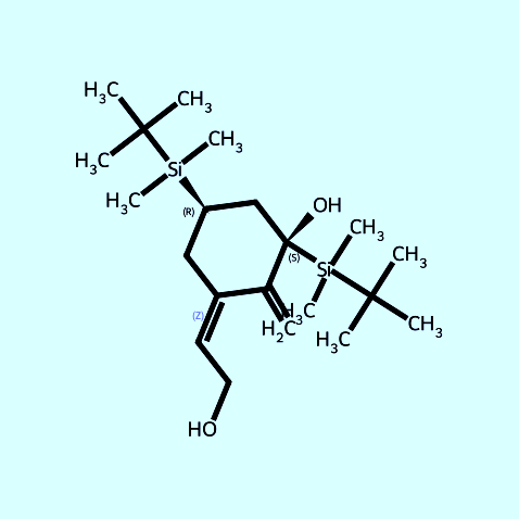 C=C1/C(=C\CO)C[C@@H]([Si](C)(C)C(C)(C)C)C[C@]1(O)[Si](C)(C)C(C)(C)C